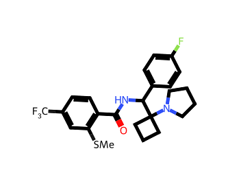 CSc1cc(C(F)(F)F)ccc1C(=O)NC(c1ccc(F)cc1)C1(N2CCCC2)CCC1